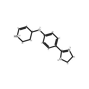 C1=CC(Oc2ccc(C3=NCCO3)cc2)CCN1